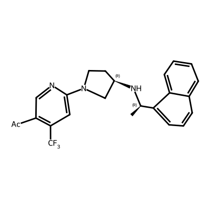 CC(=O)c1cnc(N2CC[C@@H](N[C@H](C)c3cccc4ccccc34)C2)cc1C(F)(F)F